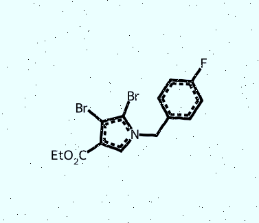 CCOC(=O)c1cn(Cc2ccc(F)cc2)c(Br)c1Br